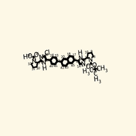 CC(C)(C)OC(=O)N1CCCC1c1ncc(-c2ccc3cc(-c4ccc(-c5[nH]c(C6CCCN6C(=O)O)nc5Cl)cc4)ccc3c2)[nH]1